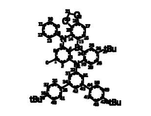 Cc1cc2c3c(c1)N(c1ccccc1)c1c(ccc4c1OCO4)B3c1cc(C(C)(C)C)ccc1N2c1cc(-c2ccc(C(C)(C)C)cc2)cc(-c2ccc(C(C)(C)C)cc2)c1